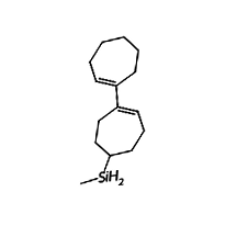 C[SiH2]C1CCC=C(C2=CCCCCC2)CC1